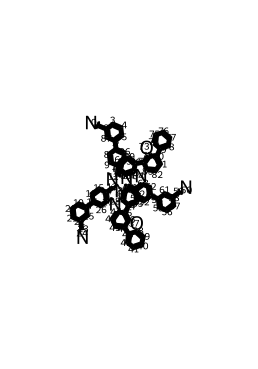 N#Cc1cccc(-c2ccc(-c3nc(-c4ccc(-c5cccc(C#N)c5)cc4-n4c5ccccc5c5c6oc7ccccc7c6ccc54)nc(-c4ccc(-c5cccc(C#N)c5)cc4-n4c5ccccc5c5c6oc7ccccc7c6ccc54)n3)cc2)c1